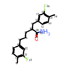 Cc1ccc(CCCC(Cc2ccc(C)c(F)c2)C(N)=O)cc1F